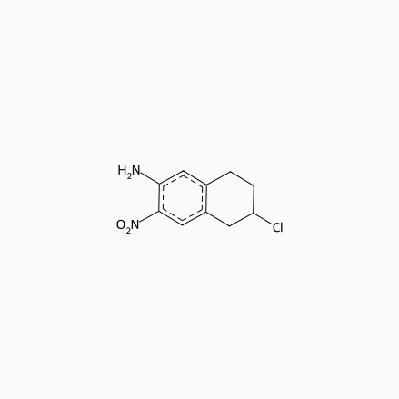 Nc1cc2c(cc1[N+](=O)[O-])CC(Cl)CC2